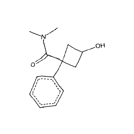 CN(C)C(=O)C1(c2ccccc2)CC(O)C1